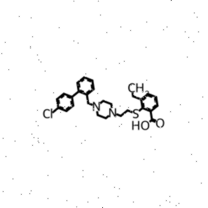 CCc1cccc(C(=O)O)c1SCCN1CCN(Cc2ccccc2-c2ccc(Cl)cc2)CC1